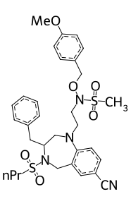 CCCS(=O)(=O)N1Cc2cc(C#N)ccc2N(CCN(OCc2ccc(OC)cc2)S(C)(=O)=O)CC1Cc1ccccc1